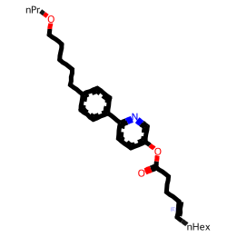 CCCCCC/C=C/CCC(=O)Oc1ccc(-c2ccc(CCCCCOCCC)cc2)nc1